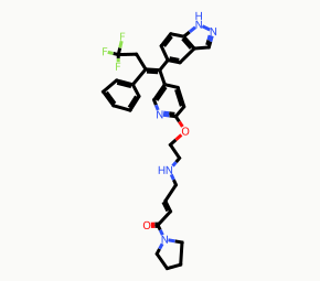 O=C(/C=C/CNCCOc1ccc(/C(=C(/CC(F)(F)F)c2ccccc2)c2ccc3[nH]ncc3c2)cn1)N1CCCC1